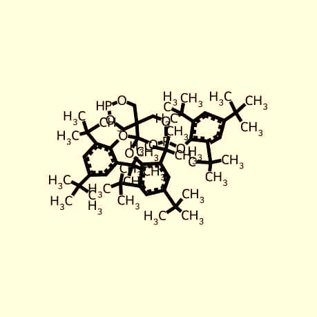 CC(C)(C)c1cc(C(C)(C)C)c(OP2OCC3(COPOC3)C(Oc3c(C(C)(C)C)cc(C(C)(C)C)cc3C(C)(C)C)(Oc3c(C(C)(C)C)cc(C(C)(C)C)cc3C(C)(C)C)O2)c(C(C)(C)C)c1